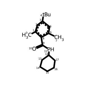 Cc1cc(C(C)(C)C)cc(C)c1C(=O)PC1CCCCC1